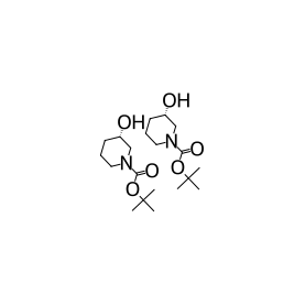 CC(C)(C)OC(=O)N1CCC[C@H](O)C1.CC(C)(C)OC(=O)N1CCC[C@H](O)C1